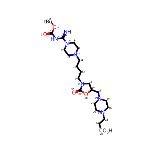 CC(C)(C)OC(=O)NC(=N)N1CCN(CCCCN2CC(CN3CCN(CCC(=O)O)CC3)OC2=O)CC1